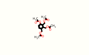 CC(=O)OCc1ccc(OC(C)=O)c(COC(C)=O)c1COC(C)=O